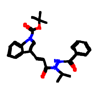 CC(C)N(NC(=O)c1ccccc1)C(=O)C=Cc1cn(C(=O)OC(C)(C)C)c2ccccc12